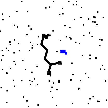 CCC(CC)CC[CH2][Mg+2].N